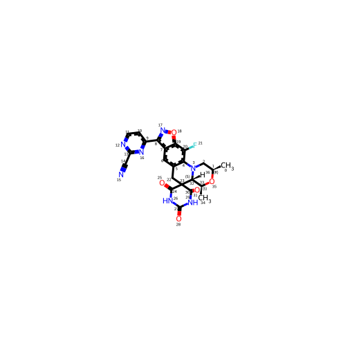 C[C@@H]1CN2c3c(cc4c(-c5ccnc(C#N)n5)noc4c3F)CC3(C(=O)NC(=O)NC3=O)[C@H]2[C@H](C)O1